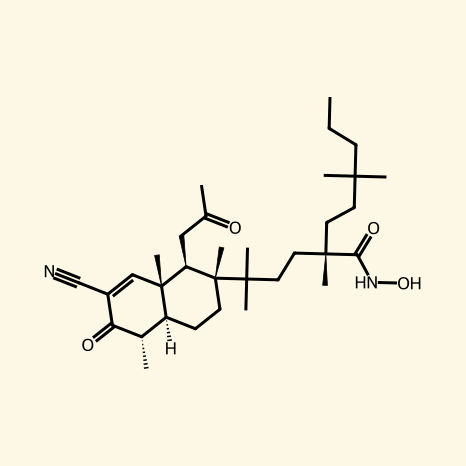 CCCC(C)(C)CC[C@@](C)(CCC(C)(C)[C@]1(C)CC[C@H]2[C@H](C)C(=O)C(C#N)=C[C@]2(C)[C@H]1CC(C)=O)C(=O)NO